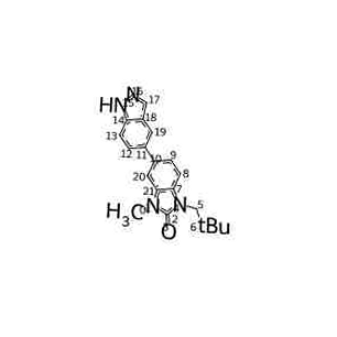 Cn1c(=O)n(CC(C)(C)C)c2ccc(-c3ccc4[nH]ncc4c3)cc21